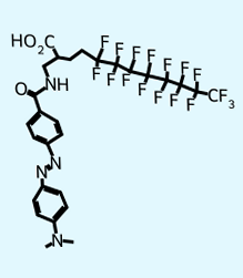 CN(C)c1ccc(N=Nc2ccc(C(=O)NCC(CCC(F)(F)C(F)(F)C(F)(F)C(F)(F)C(F)(F)C(F)(F)C(F)(F)C(F)(F)F)C(=O)O)cc2)cc1